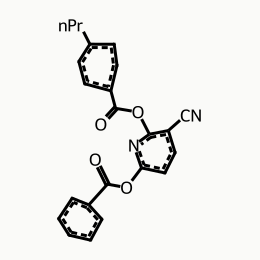 [CH2]CCc1ccc(C(=O)Oc2nc(OC(=O)c3ccccc3)ccc2C#N)cc1